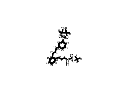 CC(C)(C)OC(=O)NCCCc1ccccc1CCCc1cccc(B2OC(C)(C)C(C)(C)O2)c1